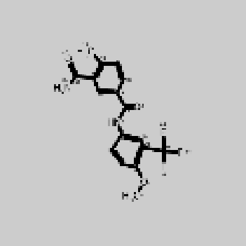 COc1ccc(NC(=O)c2ccc(C)c(C(N)=O)c2)cc1C(F)(F)F